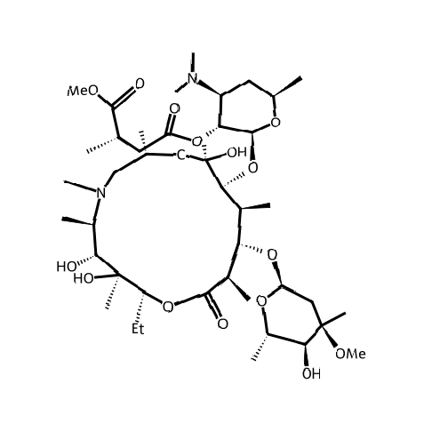 CC[C@H]1OC(=O)[C@H](C)[C@@H](O[C@H]2C[C@@](C)(OC)[C@@H](O)[C@H](C)O2)[C@H](C)[C@@H](O[C@@H]2O[C@H](C)C[C@H](N(C)C)[C@H]2OC(=O)C[C@H](C)C(=O)OC)[C@](C)(O)C[C@@H](C)CN(C)[C@H](C)[C@@H](O)[C@]1(C)O